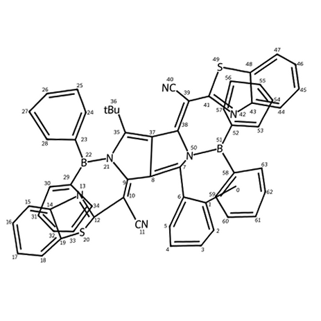 Cc1ccccc1-c1c2/c(=C(\C#N)c3nc4ccccc4s3)n(B(c3ccccc3)c3ccccc3)c(C(C)(C)C)c2/c(=C(\C#N)c2nc3ccccc3s2)n1B(c1ccccc1)c1ccccc1